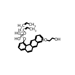 C=CC.C=CC.O=P(O)(O)Oc1cccc2ccc3cc4ccccc4cc3c12.OCCO